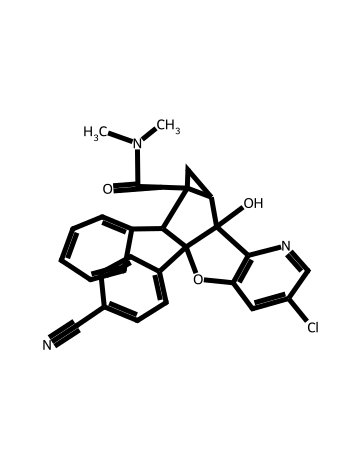 CN(C)C(=O)C12CC1C1(O)c3ncc(Cl)cc3OC1(c1ccc(C#N)cc1)C2c1ccccc1